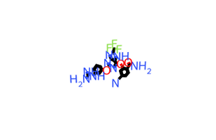 N#Cc1ccc(C(N)=O)c(Oc2nc(Oc3cccc(NC(=N)N)c3)nc3nc(C(F)(F)F)[nH]c23)c1